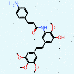 COc1cc(/C=C/c2cc(O)c(OC)c(NC(=O)/C=C/c3ccc(N)cc3)c2)cc(OC)c1OC